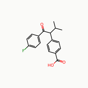 CC(C)C(C(=O)c1ccc(F)cc1)c1ccc(C(=O)O)cc1